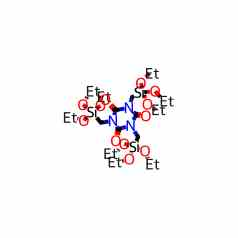 CCO[Si](Cn1c(=O)n(C[Si](OCC)(OCC)OCC)c(=O)n(C[Si](OCC)(OCC)OCC)c1=O)(OCC)OCC